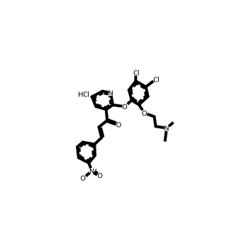 CN(C)CCOc1cc(Cl)c(Cl)cc1Oc1ncccc1C(=O)C=Cc1cccc([N+](=O)[O-])c1.Cl